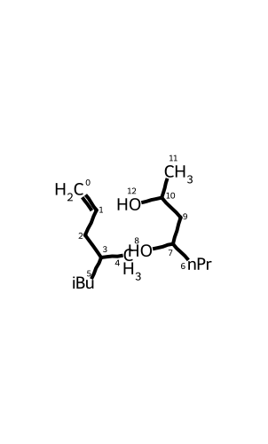 C=CCC(C)C(C)CC.CCCC(O)CC(C)O